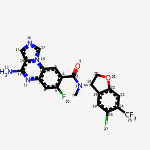 CN(C(=O)c1cc2c(cc1F)nc(N)c1cncn12)[C@@H]1COc2cc(C(F)(F)F)c(F)cc21